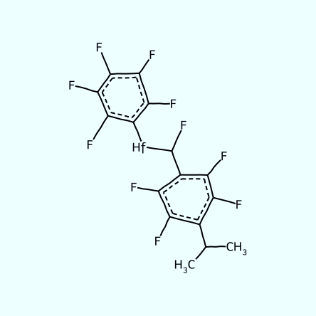 CC(C)c1c(F)c(F)c([CH](F)[Hf][c]2c(F)c(F)c(F)c(F)c2F)c(F)c1F